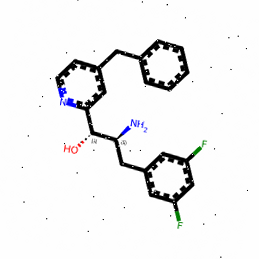 N[C@@H](Cc1cc(F)cc(F)c1)[C@H](O)c1cc(Cc2ccccc2)ccn1